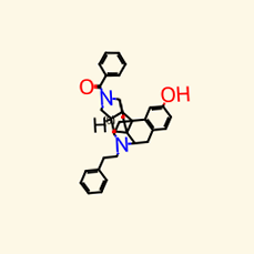 O=C(c1ccccc1)N1C[C@H]2CC34CCC1C2C31CCN(CCc2ccccc2)C4Cc2ccc(O)cc21